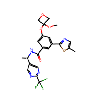 COC1(Oc2cc(C(=O)NC(C)c3cnc(C(F)(F)F)nc3)cc(-c3ncc(C)s3)c2)COC1